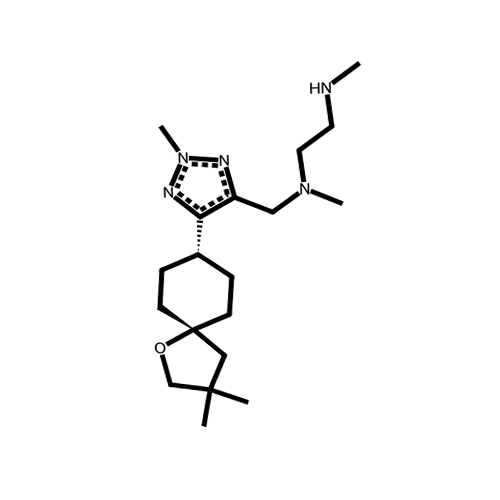 CNCCN(C)Cc1nn(C)nc1[C@H]1CC[C@@]2(CC1)CC(C)(C)CO2